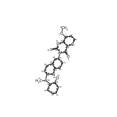 COc1ccnc2c(=O)n(-c3ccc4nc(N(C)c5ccccc5Cl)ccc4c3)c(=S)oc12